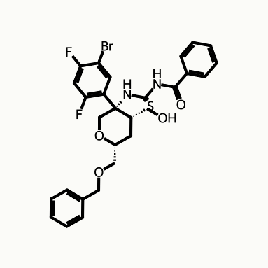 O=C(NC(=S)N[C@@]1(c2cc(Br)c(F)cc2F)CO[C@@H](COCc2ccccc2)C[C@H]1CO)c1ccccc1